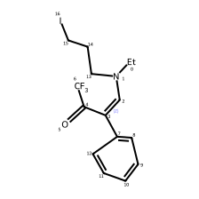 CCN(/C=C(\C(=O)C(F)(F)F)c1ccccc1)CCCI